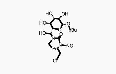 CCCCO[C@@H]1O[C@H](C(O)N(CC(C)C)C(=O)N(CCCl)N=O)[C@@H](O)[C@H](O)[C@H]1O